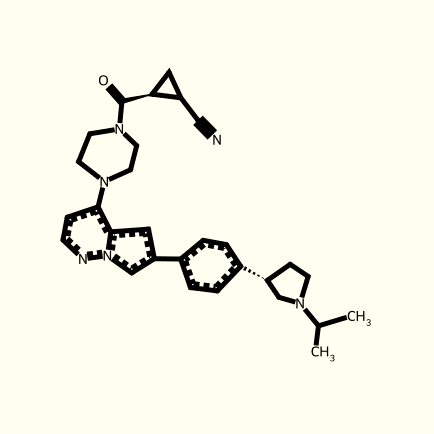 CC(C)N1CC[C@@H](c2ccc(-c3cc4c(N5CCN(C(=O)[C@H]6CC6C#N)CC5)ccnn4c3)cc2)C1